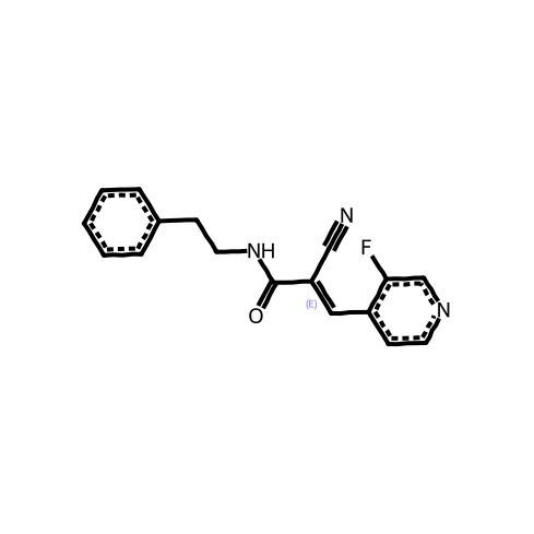 N#C/C(=C\c1ccncc1F)C(=O)NCCc1ccccc1